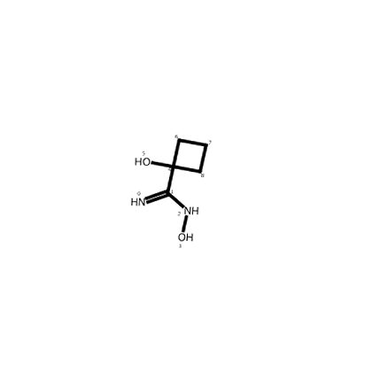 N=C(NO)C1(O)CCC1